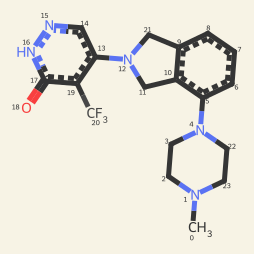 CN1CCN(c2cccc3c2CN(c2cn[nH]c(=O)c2C(F)(F)F)C3)CC1